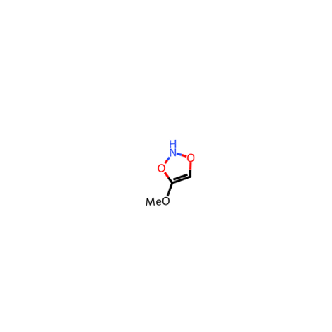 COC1=CONO1